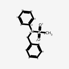 CS(=O)(=O)N(Cc1ccccc1)c1c[c]ccc1